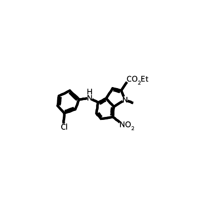 CCOC(=O)c1cc2c(Nc3cccc(Cl)c3)ccc([N+](=O)[O-])c2n1C